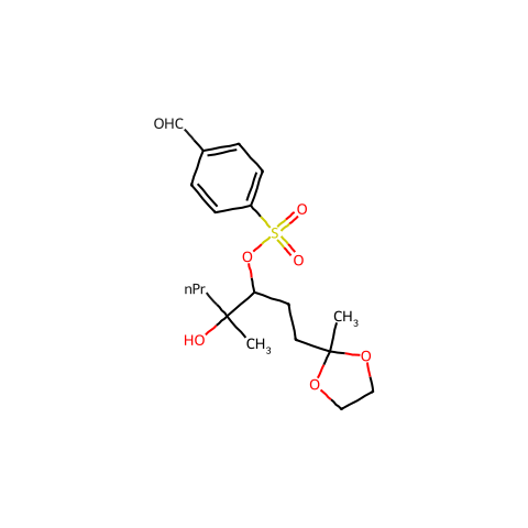 CCCC(C)(O)C(CCC1(C)OCCO1)OS(=O)(=O)c1ccc(C=O)cc1